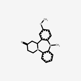 COc1ccc2c(c1)C1CC(=O)CCN1c1ccccc1N2C